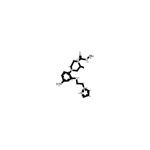 CC1CN(c2ccc(N)cc2OCCn2cccn2)CCN1C(=O)OC(C)(C)C